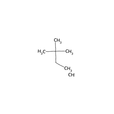 CCC(C)(C)C.[CH]